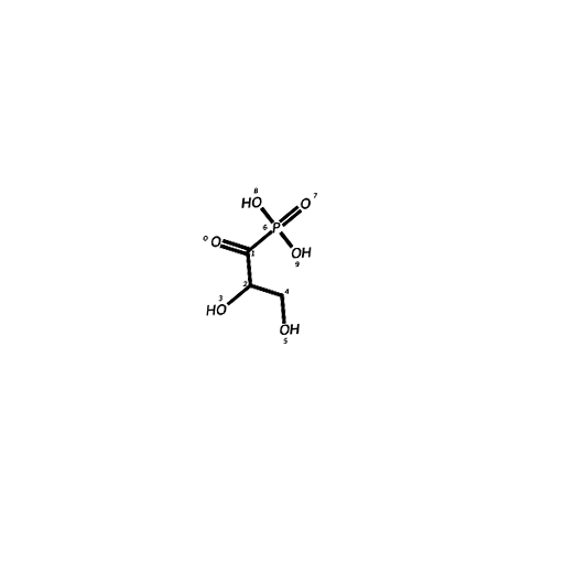 O=C(C(O)CO)P(=O)(O)O